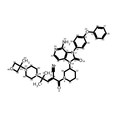 CC(C)(C=C(C#N)C(=O)N1CCCC(n2c(=O)n(-c3ccc(Oc4ccccc4)cc3)c3c(N)nccc32)C1)N1CCN(C2(C)COC2)CC1